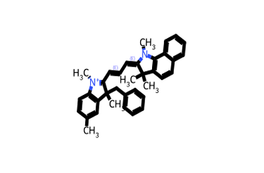 Cc1ccc2c(c1)C(C)(Cc1ccccc1)C(/C=C/C=C1/N(C)c3c(ccc4ccccc34)C1(C)C)=[N+]2C